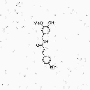 CCCc1ccc(C=CC(=O)NCc2ccc(O)c(OC)c2)cc1